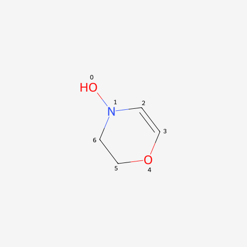 ON1C=COCC1